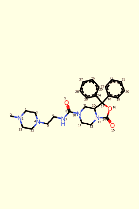 CN1CCN(CCNC(=O)N2CCN3C(=O)OC(c4ccccc4)(c4ccccc4)C3C2)CC1